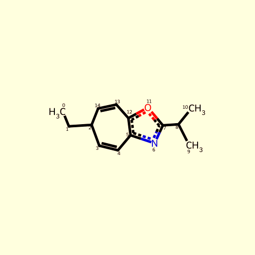 CCC1C=Cc2nc(C(C)C)oc2C=C1